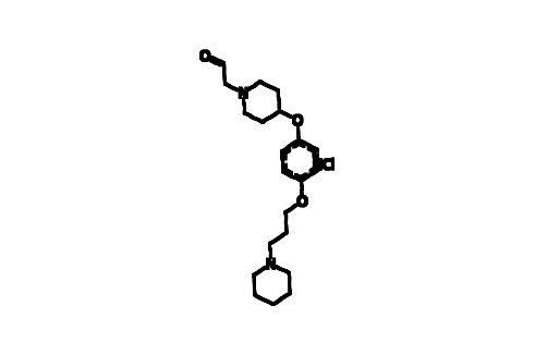 Cl.O=CCN1CCC(Oc2ccc(OCCCN3CCCCC3)cc2)CC1